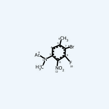 CC(=O)N(C)c1cc(C)c(Br)c(F)c1[N+](=O)[O-]